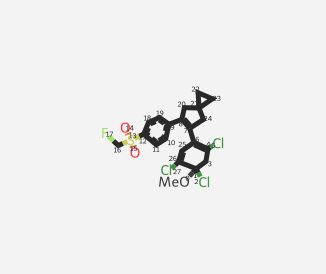 COC1(Cl)CC(Cl)=C(C2=C(c3ccc(S(=O)(=O)CF)cc3)CC3(CC3)C2)C=C1Cl